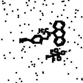 C[S+](Cc1ccc(C#N)cc1)c1c2ccccc2cc2ccccc12.O=S(=O)([O-])C(F)(F)F